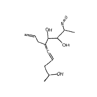 C=CCC(=C=CCC(C)O)C(O)C(O)C(C)N=O